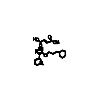 CN1CCC=C(c2nsnc2OCCCC2CCCCC2)C1.O=C(O)/C=C/C(=O)O